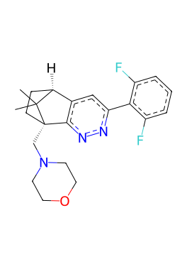 CC1(C)[C@H]2CC[C@]1(CN1CCOCC1)c1nnc(-c3c(F)cccc3F)cc12